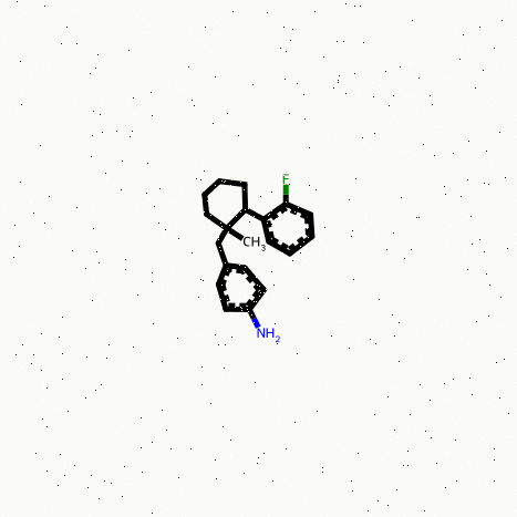 CC1(Cc2ccc(N)cc2)CCCCC1c1ccccc1F